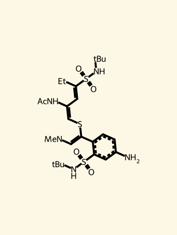 CC/C(=C\C(=C/S/C(=C\NC)c1ccc(N)cc1S(=O)(=O)NC(C)(C)C)NC(C)=O)S(=O)(=O)NC(C)(C)C